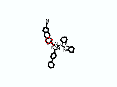 N#Cc1ccc2c(c1)C1c3cc(C#N)ccc3C2c2ccc(-c3nc(-c4ccc(-c5ccccc5)cc4)nc(-n4c5ccccc5n5c6ccccc6nc45)n3)cc21